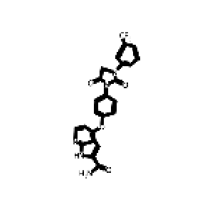 NC(=O)c1cc2c(Oc3ccc(N4C(=O)CN(c5cccc(C(F)(F)F)c5)C4=O)cc3)ccnc2[nH]1